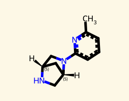 Cc1cccc(N2C[C@@H]3C[C@H]2CN3)n1